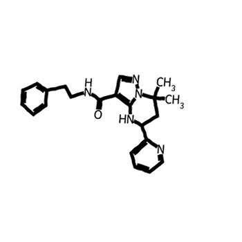 CC1(C)CC(c2ccccn2)Nc2c(C(=O)NCCc3ccccc3)cnn21